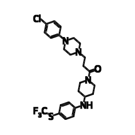 O=C(CCN1CCN(c2ccc(Cl)cc2)CC1)N1CCC(Nc2ccc(SC(F)(F)F)cc2)CC1